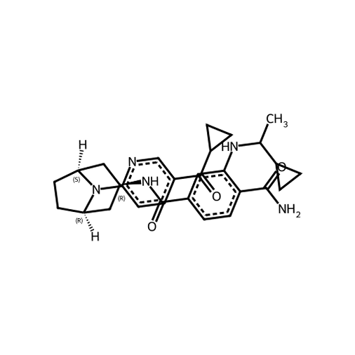 CC(Nc1cc(C(=O)N[C@H]2C[C@H]3CC[C@@H](C2)N3c2ccc(C(=O)C3CC3)cn2)ccc1C(N)=O)C1CC1